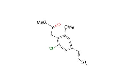 CC=Cc1cc(Cl)c(CC(=O)OC)c(OC)c1